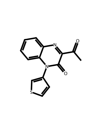 CC(=O)c1nc2ccccc2n(-c2ccsc2)c1=O